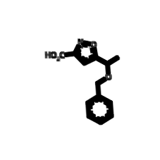 CC(OCc1ccccc1)c1cc(C(=O)O)no1